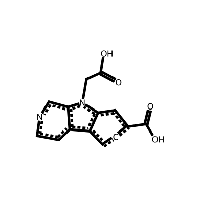 O=C(O)Cn1c2cnccc2c2ccc(C(=O)O)cc21